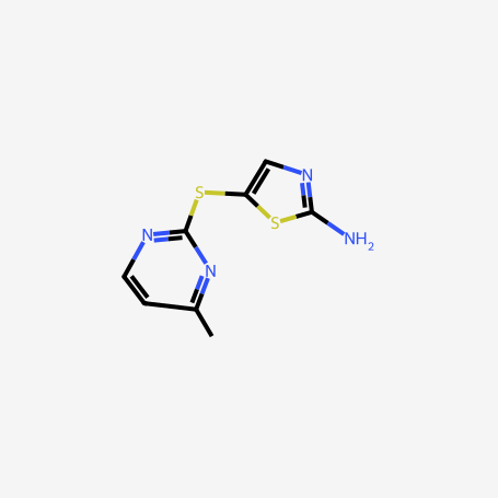 Cc1ccnc(Sc2cnc(N)s2)n1